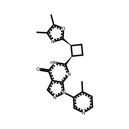 Cc1ccncc1-n1ncc2c(=O)[nH]c([C@@H]3CC[C@@H]3c3nc(C)c(C)o3)nc21